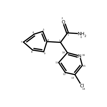 NC(=O)C(c1ccccc1)c1ccc(Cl)cn1